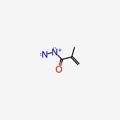 C=C(C)C(=O)[N+][N]